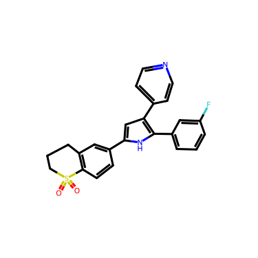 O=S1(=O)CCCc2cc(-c3cc(-c4ccncc4)c(-c4cccc(F)c4)[nH]3)ccc21